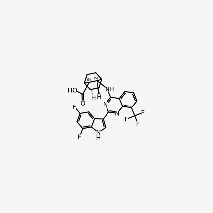 O=C(O)[C@H]1C2CCC(CC2)[C@@H]1Nc1nc(-c2c[nH]c3c(F)cc(F)cc23)nc2c(C(F)(F)F)cccc12